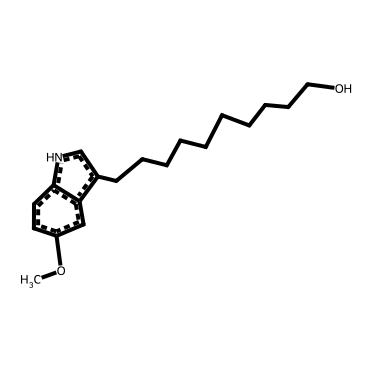 COc1ccc2[nH]cc(CCCCCCCCCCO)c2c1